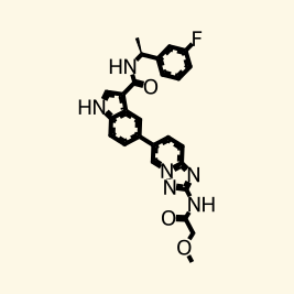 COCC(=O)Nc1nc2ccc(-c3ccc4[nH]cc(C(=O)N[C@@H](C)c5cccc(F)c5)c4c3)cn2n1